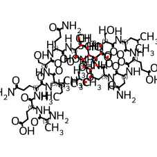 CC[C@H](C)[C@H](NC(=O)[C@H](CCC(N)=O)NC(=O)[C@H](CCC(=O)O)NC(=O)[C@H](C)N)C(=O)N[C@@H](CO)C(=O)N[C@@H](CCC(N)=O)C(=O)N[C@H](C(=O)N[C@@H](CC(C)C)C(=O)N[C@@H](CC(=O)O)C(=O)N[C@@H](CO)C(=O)N[C@@H](CC(C)C)C(=O)N[C@@H](CCC(=O)O)C(=O)N[C@@H](CC(N)=O)C(=O)N[C@@H](CC(C)C)C(=O)N[C@@H](CCSC)C(=O)O)C(C)C